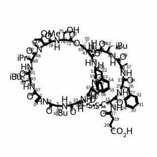 C=C1NC(=O)C([C@@H](C)CC)NC(=O)[C@@H]2CSSC[C@H](NC(=O)CCC(=O)O)C(=O)N[C@H](Cc3ccccc3)C(=O)N[C@H](C)C(=O)NC(C[C@@H](C)CC)C(=O)N[C@@H](C(=O)N[C@H](Cc3ccccc3)C(=O)N3CCC[C@H]3C(=O)N2)[C@@H](C)OC(=O)[C@H](CO)NC(=O)[C@H]([C@@H](C)OC)N(C)C(=O)C(C(C)C)NC(=O)[C@H](C[C@H](C)CC)NC1=O